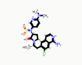 CN(C)c1ccc(N([C@H]2CCN([C@H](Cc3cc4ccnc(N)c4cc3Cl)C(=O)O)C2=O)[SH](=O)=O)cn1